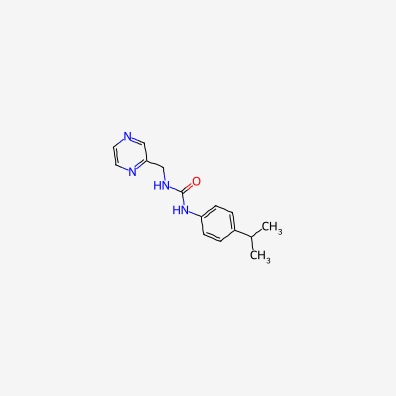 CC(C)c1ccc(NC(=O)NCc2cnccn2)cc1